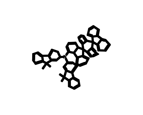 CC1(C)C2=CC(N(C3=CC=CC4C3c3ccccc3C43c4ccccc4C4(c5ccccc5-c5ccccc54)c4ccccc43)c3ccc4c(c3)C(C)(C)c3ccccc3-4)CC=C2c2ccccc21